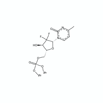 Cc1ccn([C@@H]2O[C@H](COP(=O)(OC(C)C)OC(C)C)[C@@H](O)C2(F)F)c(=O)n1